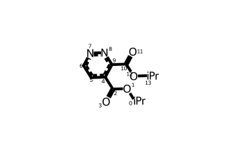 CC(C)OC(=O)c1ccnnc1C(=O)OC(C)C